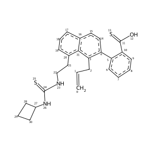 C=CCc1c(-c2ccccc2C(O)=S)ccc2cccc(CCNC(=S)NC3CCC3)c12